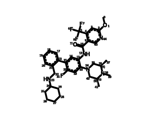 COc1cc(C(F)(F)F)c(C(=O)Nc2cc(-c3ccccc3CNC3CCCCC3)c(F)cc2N2C[C@@H](C)N(C)[C@@H](C)C2)cn1